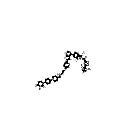 Cc1cc(-c2ncnc3[nH]c(-c4ccc(NCCNCC5CCN(c6ccc(N7CCC(=O)NC7=O)cc6)CC5)cn4)cc23)ccc1[C@@H](C)NC(=O)c1noc(C(C)(C)C(F)(F)F)n1